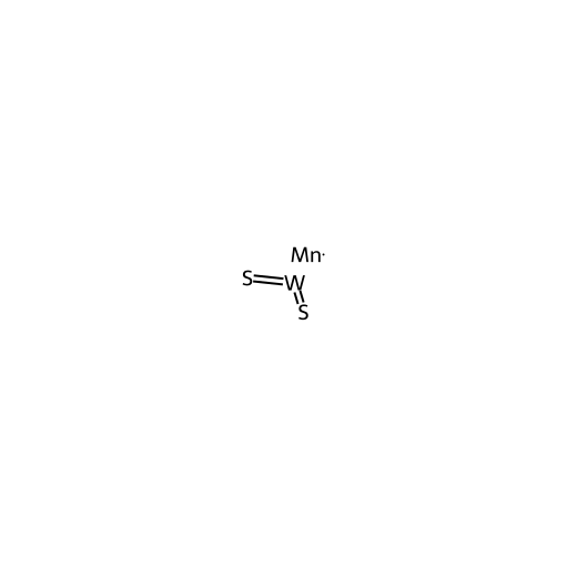 [Mn].[S]=[W]=[S]